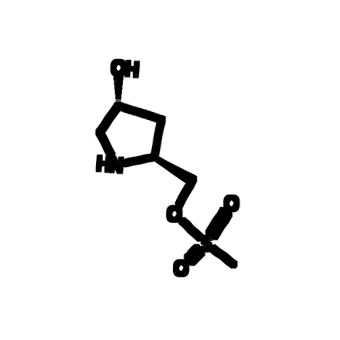 CS(=O)(=O)OC[C@@H]1C[C@@H](O)CN1